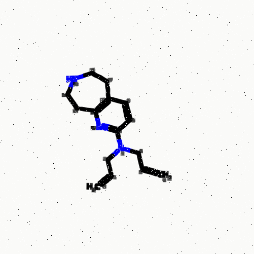 C=CCN(CC=C)c1ccc2c(n1)CCNCC2